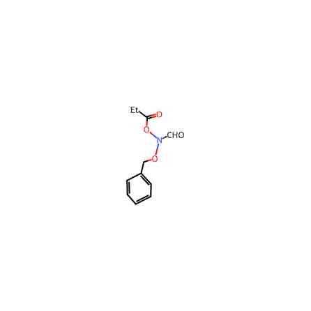 CCC(=O)ON(C=O)OCc1ccccc1